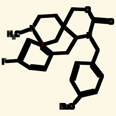 CC(C)COc1ccc(CN2C(=O)OCC3(CCN(C)CC3)C2Cc2ccc(F)cc2)cc1